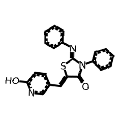 O=C1/C(=C/c2ccc(O)nc2)S/C(=N\c2ccccc2)N1c1ccccc1